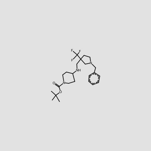 CC(C)(C)OC(=O)N1CCC(NCC2(C(F)(F)F)CCN(Cc3ccccc3)C2)CC1